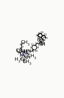 CC=C(/N=C(\N=C(/C)NCC1CCC(CNS(=O)(=O)c2cccc3ccccc23)CC1)NC(C)C)NCCCC